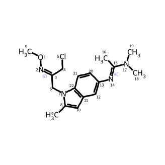 CO/N=C(\CCl)Cn1c(C)cc2cc(/N=C(\C)N(C)C)ccc21